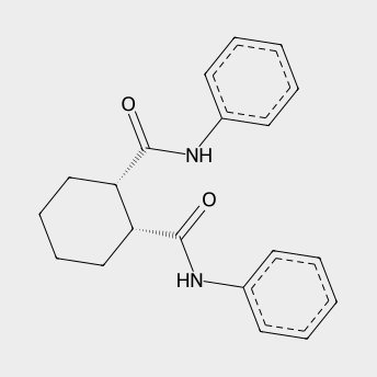 O=C(Nc1ccccc1)[C@H]1CCCC[C@H]1C(=O)Nc1ccccc1